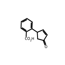 O=C1C=CC(c2ccccc2C(=O)O)C1